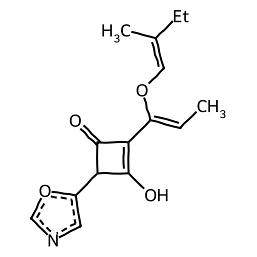 C/C=C(\O/C=C(\C)CC)C1=C(O)C(c2cnco2)C1=O